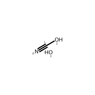 N#CO.[OH]